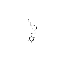 CCCCN1CCCC(NC(=O)c2cc(Cl)c(Cl)cc2S)C1